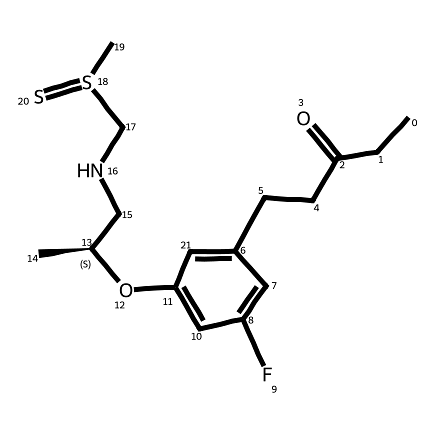 CCC(=O)CCc1cc(F)cc(O[C@@H](C)CNCS(C)=S)c1